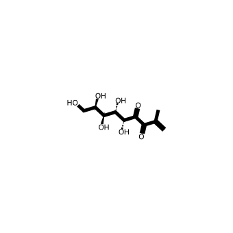 C=C(C)C(=O)C(=O)[C@H](O)[C@@H](O)[C@@H](O)[C@H](O)CO